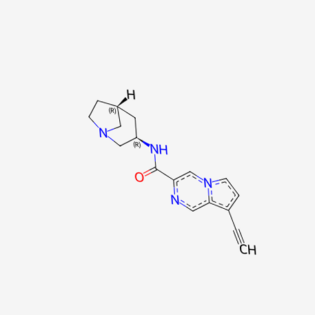 C#Cc1ccn2cc(C(=O)N[C@@H]3C[C@H]4CCN(C4)C3)ncc12